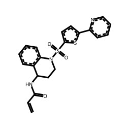 C=CC(=O)NC1CCN(S(=O)(=O)c2ccc(-c3ccccn3)s2)c2ccccc21